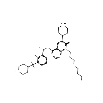 C[C@@H](Nc1ncnc2c1cc(C1CCS(=O)(=O)CC1)c(=O)n2CCCOCCCC=O)c1cccc(C(F)(F)C2CCNCC2)c1F